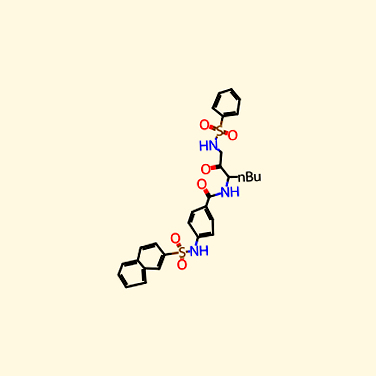 CCCCC(NC(=O)c1ccc(NS(=O)(=O)c2ccc3ccccc3c2)cc1)C(=O)CNS(=O)(=O)c1ccccc1